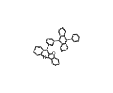 c1ccc(-c2c3ccccc3c(-c3cccc(-c4c5ccccc5nc5c4oc4ccccc45)c3)c3ccccc23)cc1